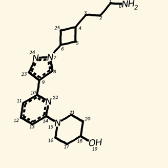 NCCCC1CC(n2cc(-c3cccc(N4CCC(O)CC4)n3)cn2)C1